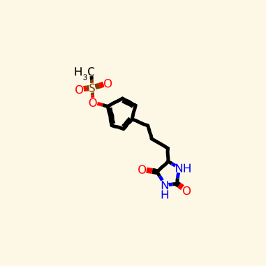 CS(=O)(=O)Oc1ccc(CCCC2NC(=O)NC2=O)cc1